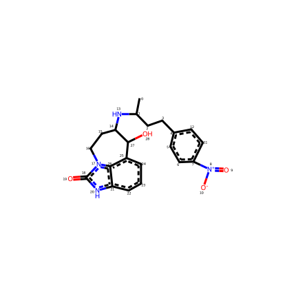 CC(CCc1ccc([N+](=O)[O-])cc1)NC1CCn2c(=O)[nH]c3cccc(c32)C1O